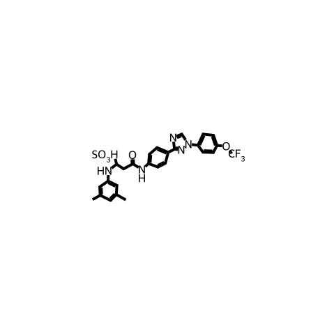 Cc1cc(C)cc(NC(CC(=O)Nc2ccc(-c3ncn(-c4ccc(OC(F)(F)F)cc4)n3)cc2)S(=O)(=O)O)c1